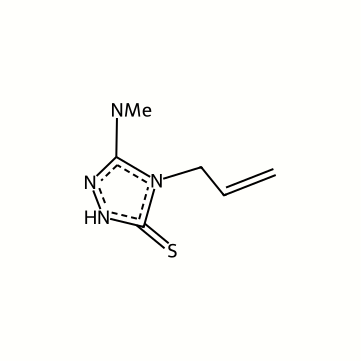 C=CCn1c(NC)n[nH]c1=S